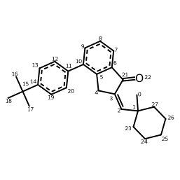 CC1(/C=C2/Cc3c(cccc3-c3ccc(C(C)(C)C)cc3)C2=O)CCCCC1